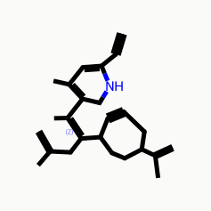 C#CC1=CC(C)=C(/C(C)=C(/CC(=C)C)C2C#CCC(C(=C)C)CC2)CN1